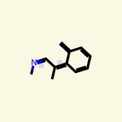 C=c1cccc/c1=C(C)/C=N\C